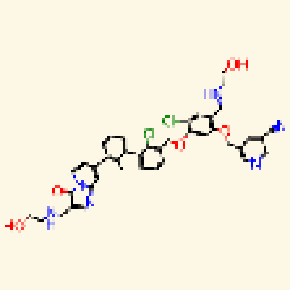 Cc1c(-c2ccn3c(=O)c(CNCCO)cnc3c2)cccc1-c1cccc(COc2cc(OCc3cncc(C#N)c3)c(CNCCO)cc2Cl)c1Cl